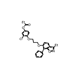 CCC(=O)Oc1ccc(OCCCOc2ccc3c(CC)noc3c2-c2ccccc2)c(Cl)c1